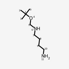 CC(C)(C)OCNCCCCN